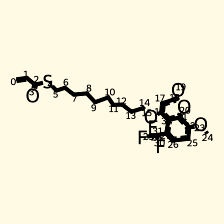 C=CC(=O)SCCCCCCCCCCOc1cc(=O)oc2c(OC)ccc(C(F)(F)F)c12